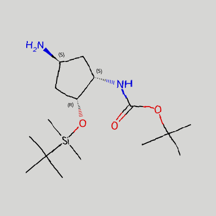 CC(C)(C)OC(=O)N[C@H]1C[C@H](N)C[C@H]1O[Si](C)(C)C(C)(C)C